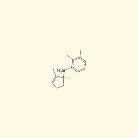 CC1=CCCC1(C)[SiH2]c1cccc(C)c1C